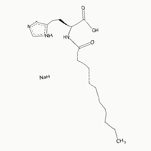 CCCCCCCCCC(=O)N[C@@H](Cc1cnc[nH]1)C(=O)O.[NaH]